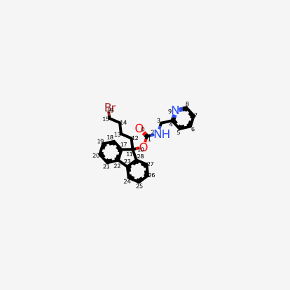 O=C(NCc1ccccn1)OC1(CCCCBr)c2ccccc2-c2ccccc21